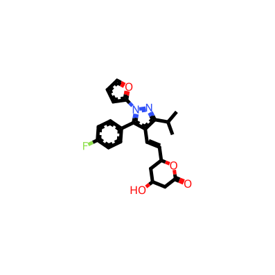 CC(C)c1nn(-c2ccco2)c(-c2ccc(F)cc2)c1C=CC1CC(O)CC(=O)O1